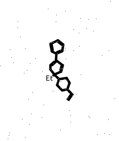 C=CC1CCC(C2(CC)C=CC(c3ccccc3)=CC2)CC1